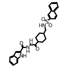 O=C(NNC(=O)C1CCC(CNS(=O)(=O)c2ccc3ccccc3c2)CC1)c1cc2ccccc2[nH]1